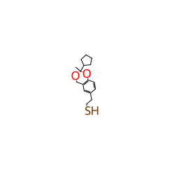 CC1(C2CCCC2)OCc2cc(CCS)ccc2O1